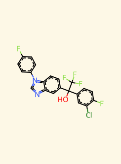 OC(c1ccc(F)c(Cl)c1)(c1ccc2c(c1)ncn2-c1ccc(F)cc1)C(F)(F)F